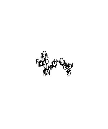 C[C@@H]1COC[C@H](C)N1C(=O)c1cc(F)ccc1Oc1cncnc1N1CC2(CCN(C[C@@H]3CC[C@@H](NS(=O)(=O)C4COC4)CO3)CC2)C1